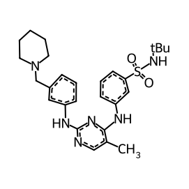 Cc1cnc(Nc2cccc(CN3CCCCC3)c2)nc1Nc1cccc(S(=O)(=O)NC(C)(C)C)c1